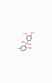 COc1ccc([N+](O)(O)c2cc(C)ccc2O)cc1OC